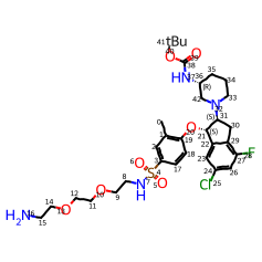 Cc1cc(S(=O)(=O)NCCOCCOCCN)ccc1O[C@H]1c2cc(Cl)cc(F)c2C[C@@H]1N1CCC[C@@H](NC(=O)OC(C)(C)C)C1